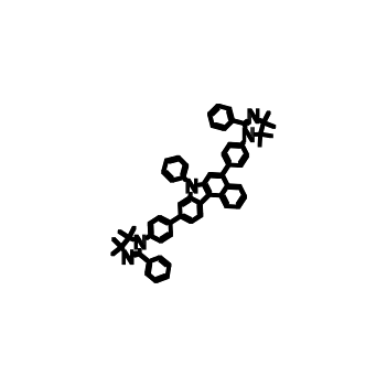 CC1(C)N=C(c2ccccc2)N(c2ccc(-c3ccc4c5c6ccccc6c(-c6ccc(N7C(c8ccccc8)=NC(C)(C)C7(C)C)cc6)cc5n(-c5ccccc5)c4c3)cc2)C1(C)C